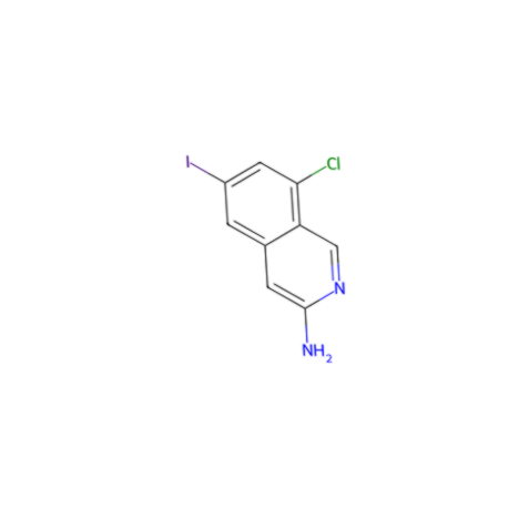 Nc1cc2cc(I)cc(Cl)c2cn1